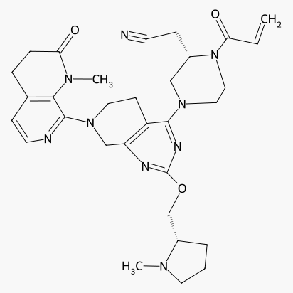 C=CC(=O)N1CCN(c2nc(OC[C@@H]3CCCN3C)nc3c2CCN(c2nccc4c2N(C)C(=O)CC4)C3)C[C@@H]1CC#N